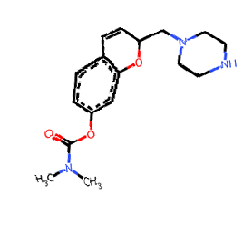 CN(C)C(=O)Oc1ccc2c(c1)OC(CN1CCNCC1)C=C2